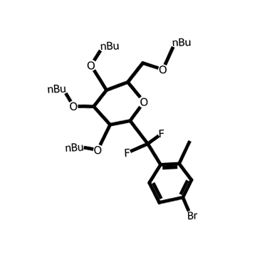 CCCCOCC1OC(C(F)(F)c2ccc(Br)cc2C)C(OCCCC)C(OCCCC)C1OCCCC